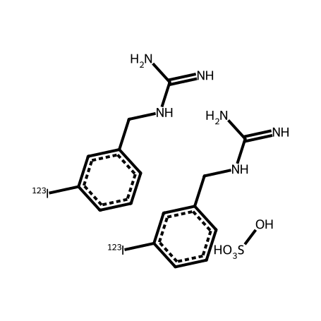 N=C(N)NCc1cccc([123I])c1.N=C(N)NCc1cccc([123I])c1.O=S(=O)(O)O